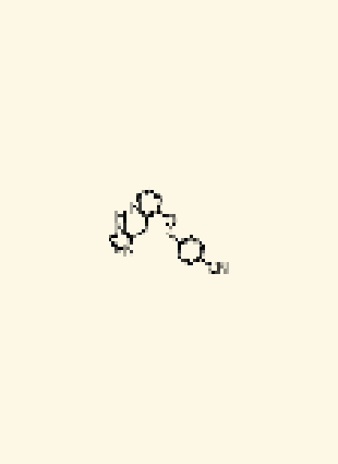 N#Cc1ccc(COc2cccnc2Cc2ncc[nH]2)cc1